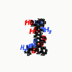 CC[C@H](C)[C@H](N)C(=O)NCc1ncc(C(=O)C(CC(O)C(N)C(C(=O)[C@@H](N)CO)C2CCCCC2)C(C)C)c(C(C)=O)c1Oc1cccc2ccccc12